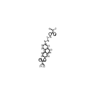 C=C(C)C(=O)OCCCCC1=Cc2ccc3cc(OC(=O)C(=C)C)ccc3c2CC1